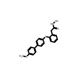 CSc1ccc(-c2ccc(Sc3ccccc3CC(=O)NO)cc2)cc1